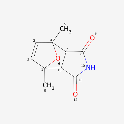 CC12C=CC(C)(O1)C1C(=O)NC(=O)C12